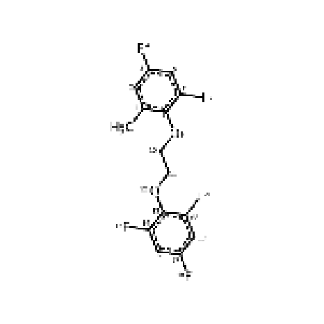 Cc1cc(F)cc(I)c1OCCOc1c(F)cc(F)cc1I